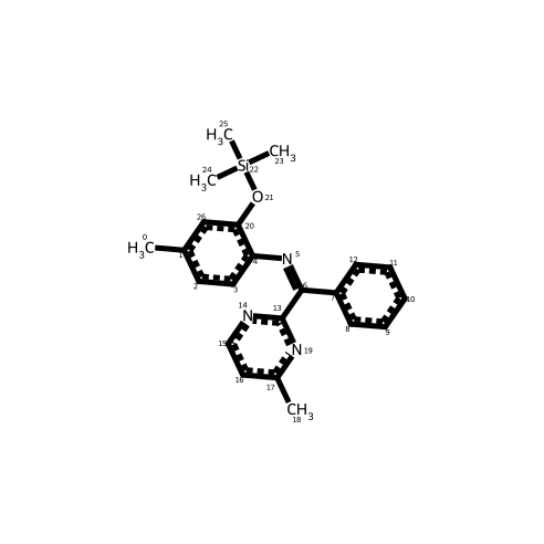 Cc1ccc(N=C(c2ccccc2)c2nccc(C)n2)c(O[Si](C)(C)C)c1